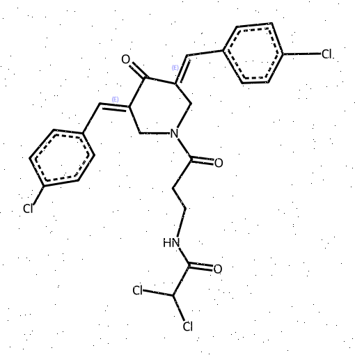 O=C1/C(=C/c2ccc(Cl)cc2)CN(C(=O)CCNC(=O)C(Cl)Cl)C/C1=C\c1ccc(Cl)cc1